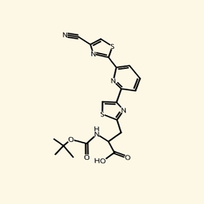 CC(C)(C)OC(=O)NC(Cc1nc(-c2cccc(-c3nc(C#N)cs3)n2)cs1)C(=O)O